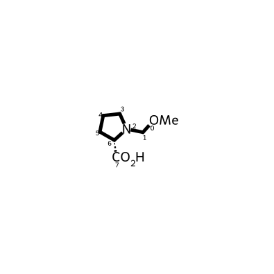 COCN1CCC[C@H]1C(=O)O